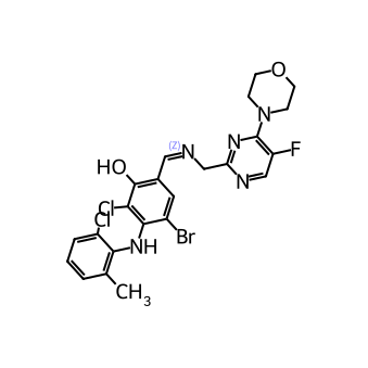 Cc1cccc(Cl)c1Nc1c(Br)cc(/C=N\Cc2ncc(F)c(N3CCOCC3)n2)c(O)c1Cl